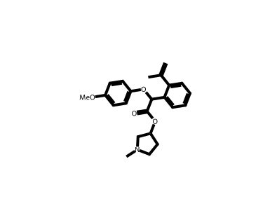 C=C(C)c1ccccc1C(Oc1ccc(OC)cc1)C(=O)OC1CCN(C)C1